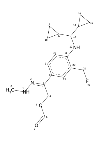 CN/N=C(\COC=O)c1ccc(NC(C2CC2)C2CC2)c(CF)c1